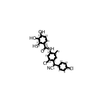 Cc1cc(C(C#N)c2ccc(Cl)cc2)c(Cl)cc1NC(=O)c1ccc(O)c(O)c1S